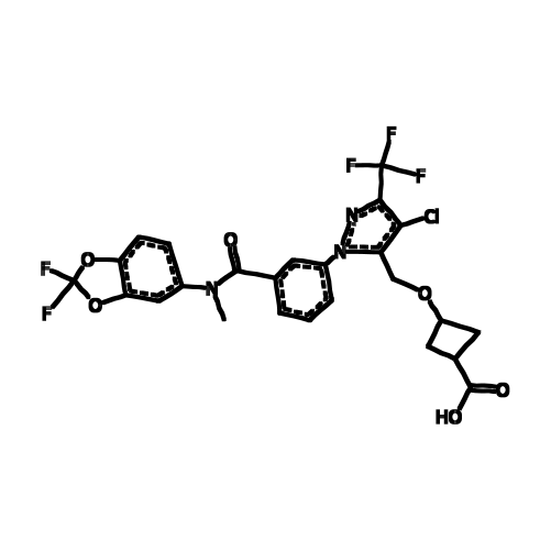 CN(C(=O)c1cccc(-n2nc(C(F)(F)F)c(Cl)c2COC2CC(C(=O)O)C2)c1)c1ccc2c(c1)OC(F)(F)O2